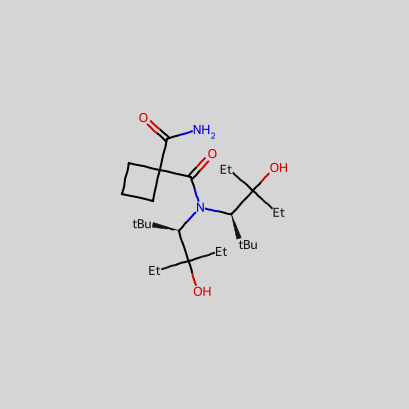 CCC(O)(CC)[C@H](N(C(=O)C1(C(N)=O)CCC1)[C@H](C(C)(C)C)C(O)(CC)CC)C(C)(C)C